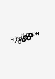 CC(=O)OC1CCC2C3CCC4=C[C@@H](O)CCC4(C)C3CCC12C